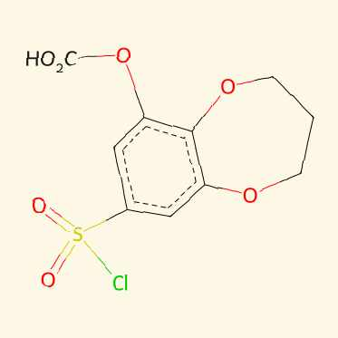 O=C(O)Oc1cc(S(=O)(=O)Cl)cc2c1OCCCO2